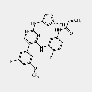 C=CC(=O)Nc1ccc(F)c(Nc2nc(Nc3cnn(C)c3)ncc2-c2cc(F)cc(OC(F)(F)F)c2)c1